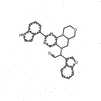 O=CC(c1coc2ccccc12)N1CC2COCCN2c2nc(-c3cccc4[nH]ccc34)ncc21